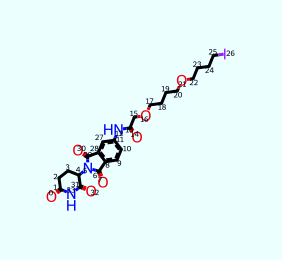 O=C1CCC(N2C(=O)c3ccc(NC(=O)COCCCCOCCCCI)cc3C2=O)C(=O)N1